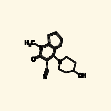 Cn1c(=O)c(C#N)c(N2CCC(O)CC2)c2ccccc21